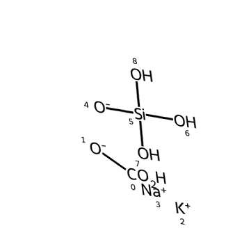 O=C([O-])O.[K+].[Na+].[O-][Si](O)(O)O